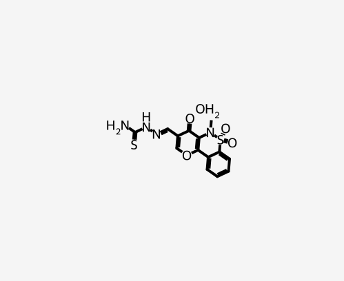 CN1c2c(occ(/C=N/NC(N)=S)c2=O)-c2ccccc2S1(=O)=O.O